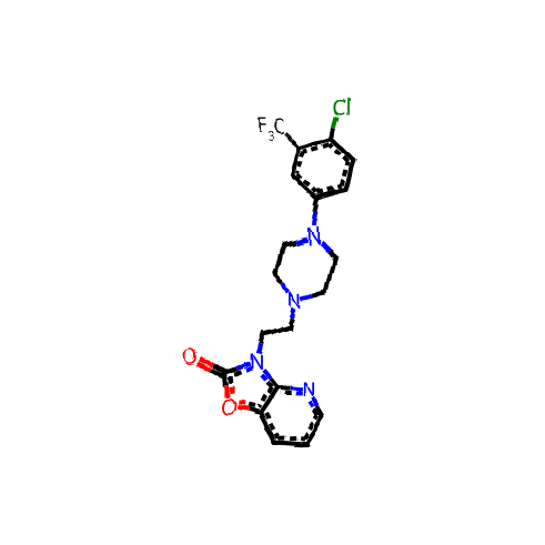 O=c1oc2cccnc2n1CCN1CCN(c2ccc(Cl)c(C(F)(F)F)c2)CC1